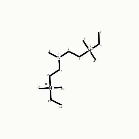 CC[N+](C)(C)CCN(C)CC[N+](C)(C)CC